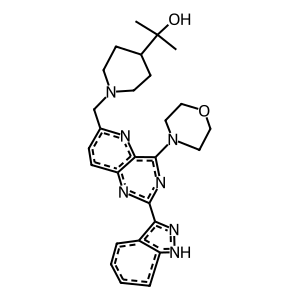 CC(C)(O)C1CCN(Cc2ccc3nc(-c4n[nH]c5ccccc45)nc(N4CCOCC4)c3n2)CC1